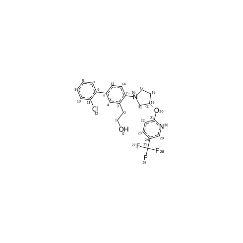 OCCc1cc(-c2ccccc2Cl)ccc1N1CC[C@H](Oc2ccc(C(F)(F)F)cn2)C1